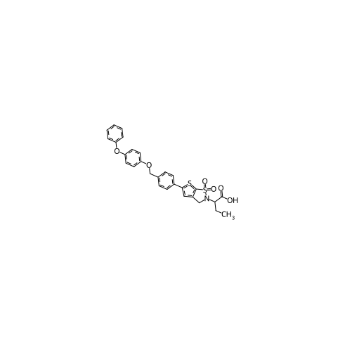 CCC(C(=O)O)N1Cc2cc(-c3ccc(COc4ccc(Oc5ccccc5)cc4)cc3)sc2S1(=O)=O